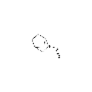 O=CN1CC2CCC1C2